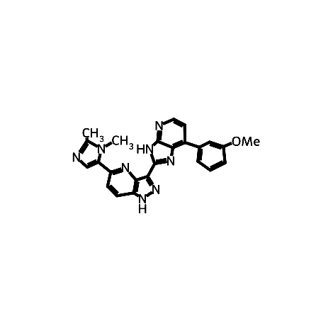 COc1cccc(-c2ccnc3[nH]c(-c4n[nH]c5ccc(-c6cnc(C)n6C)nc45)nc23)c1